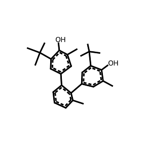 Cc1cc(-c2cccc(C)c2-c2cc(C)c(O)c(C(C)(C)C)c2)cc(C(C)(C)C)c1O